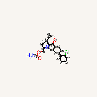 NC(=O)OCc1ccc(C2CC2)c(C(=O)C2CCC(c3ccccc3Cl)CC2)n1